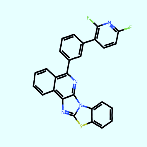 Fc1ccc(-c2cccc(-c3nc4c(nc5sc6ccccc6n54)c4ccccc34)c2)c(F)n1